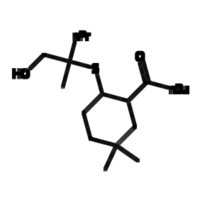 CCCCC(=O)C1CC(C)(C)CCC1SC(C)(CO)CCC